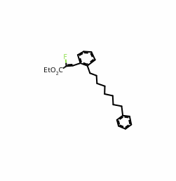 CCOC(=O)C(F)=Cc1ccccc1CCCCCCCCc1ccccc1